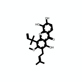 C=CC(C)(C)c1c(OC)c(CC=C(C)C)c(O)c2c(=O)c3ccc(O)c(O)c3oc12